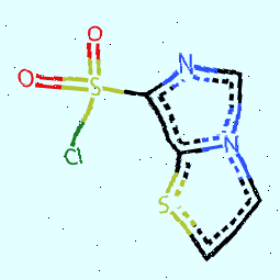 O=S(=O)(Cl)c1ncn2ccsc12